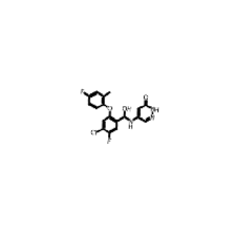 Cc1cc(F)ccc1Oc1cc(Cl)c(F)cc1C(O)Nc1cn[nH]c(=O)c1